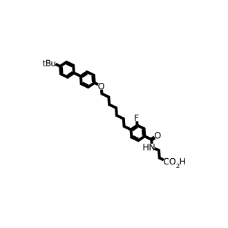 CC(C)(C)c1ccc(-c2ccc(OCCCCCCCc3ccc(C(=O)NCCC(=O)O)cc3F)cc2)cc1